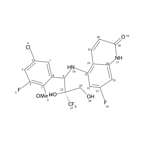 COc1c(F)cc(Cl)cc1C(Nc1cc(F)cc2[nH]c(=O)ccc12)[C@](O)(CO)C(F)(F)F